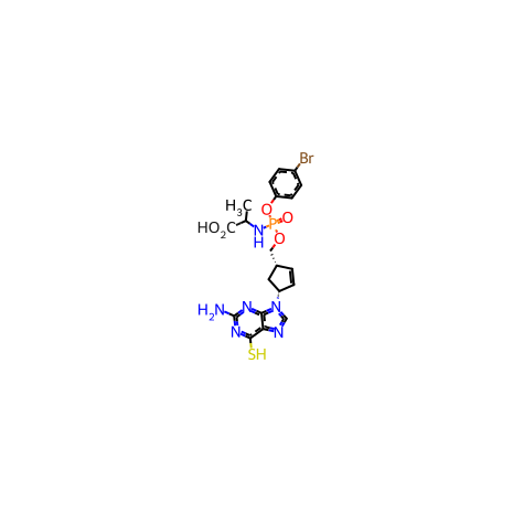 CC(NP(=O)(OC[C@@H]1C=C[C@H](n2cnc3c(S)nc(N)nc32)C1)Oc1ccc(Br)cc1)C(=O)O